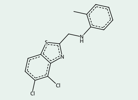 Cc1ccccc1NCc1nc2c(Cl)c(Cl)ccc2s1